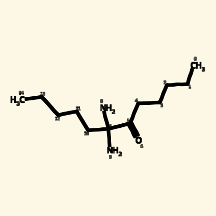 CCCCCC(=O)C(N)(N)CCCCC